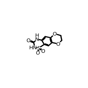 O=C1Nc2cc3c(cc2S(=O)(=O)N1)OCCO3